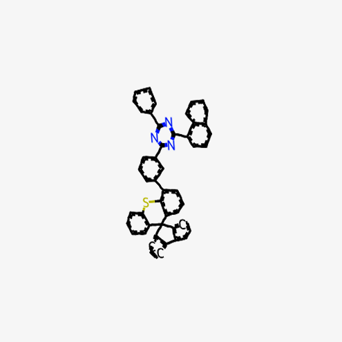 c1ccc(-c2nc(-c3cccc(-c4cccc5c4Sc4ccccc4C54c5ccccc5-c5ccccc54)c3)nc(-c3cccc4ccccc34)n2)cc1